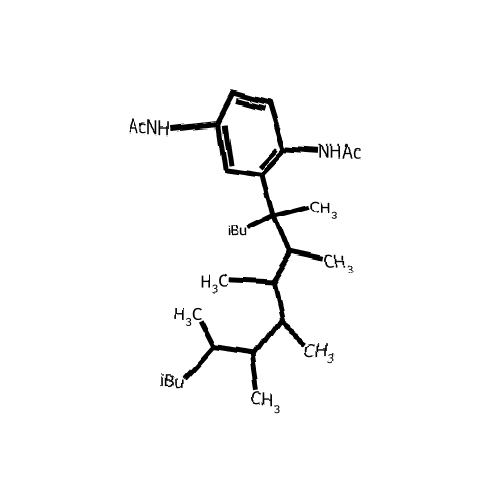 CCC(C)C(C)C(C)C(C)C(C)C(C)C(C)(c1cc(NC(C)=O)ccc1NC(C)=O)C(C)CC